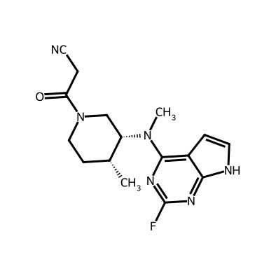 C[C@@H]1CCN(C(=O)CC#N)C[C@@H]1N(C)c1nc(F)nc2[nH]ccc12